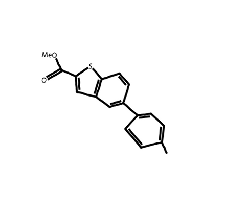 COC(=O)c1cc2cc(-c3ccc(C)cc3)ccc2s1